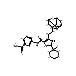 CC1(c2nc(C(=O)Nc3cccc(C(=O)O)c3)c(CCC34CC5CC(CC(C5)C3)C4)[nH]2)CCCCC1